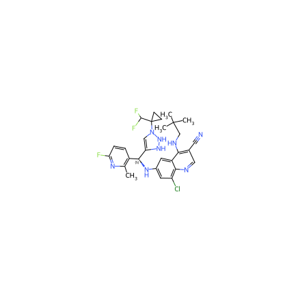 Cc1nc(F)ccc1[C@H](Nc1cc(Cl)c2ncc(C#N)c(NCC(C)(C)C)c2c1)C1=CN(C2(C(F)F)CC2)NN1